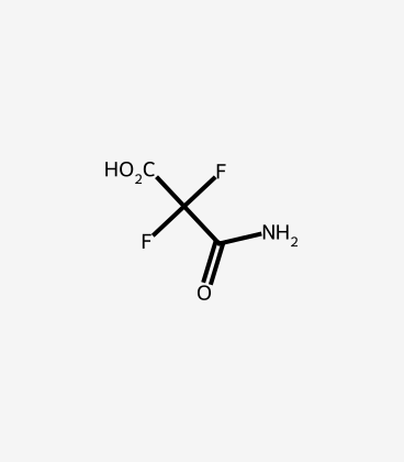 NC(=O)C(F)(F)C(=O)O